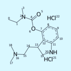 CCN(C)C(=O)Oc1cccc2c1C(CCN(C)C)CN2.Cl.Cl